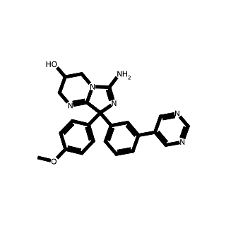 COc1ccc(C2(c3cccc(-c4cncnc4)c3)N=C(N)N3CC(O)CN=C32)cc1